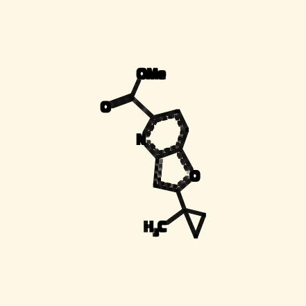 COC(=O)c1ccc2oc(C3(C)CC3)cc2n1